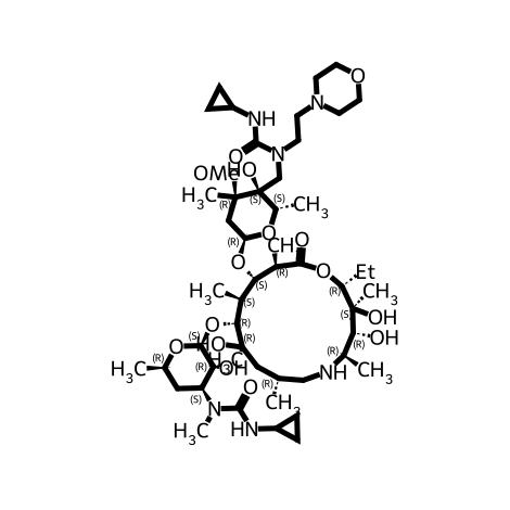 CC[C@H]1OC(=O)[C@H](C)[C@@H](O[C@H]2C[C@@](C)(OC)[C@](O)(CN(CCN3CCOCC3)C(=O)NC3CC3)[C@H](C)O2)[C@H](C)[C@@H](O[C@@H]2O[C@H](C)C[C@H](N(C)C(=O)NC3CC3)[C@H]2O)[C@](C)(O)C[C@@H](C)CN[C@H](C)[C@@H](O)[C@]1(C)O